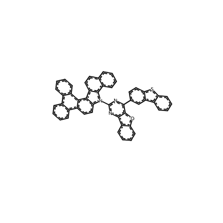 c1ccc2c(c1)ccc1c3c4c5ccccc5c5ccccc5c4ccc3n(-c3nc(-c4ccc5sc6ccccc6c5c4)c4oc5ccccc5c4n3)c21